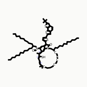 CCCCCCCCCCCCC(CCCCCCCCCC)CN(C=O)c1cc2c3c\c1=C(C)/C(S)=C/C=C/C(C)(C)CCCCCCCCCCC(CCCCCCCCCCCC)CN3C(=O)C=2c1ccc(-c2cc3ccc4cc(C(C)(C)C)sc4c3s2)s1